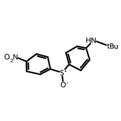 CC(C)(C)Nc1ccc([S+]([O-])c2ccc([N+](=O)[O-])cc2)cc1